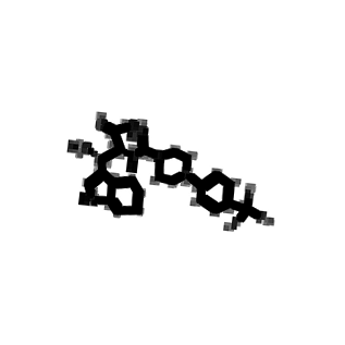 C[C@@H](c1c[nH]c2ccccc12)[C@@H](NC(=O)N1CCN(c2ccc(C(F)(F)F)cc2)CC1)C(=O)O